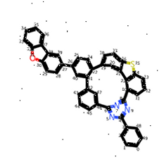 c1ccc(-c2nc3nc(n2)c2cccc4sc5ccc(cc5c42)c2ccc(-c4ccc5oc6ccccc6c5c4)cc2c2cccc3c2)cc1